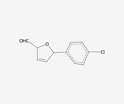 O=CC1C=CC(c2ccc(Cl)cc2)O1